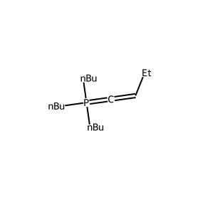 CCC=C=P(CCCC)(CCCC)CCCC